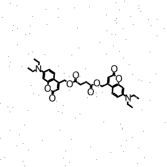 CCN(CC)c1ccc2c(COC(=O)CCC(=O)OCc3cc(=O)oc4cc(N(CC)CC)ccc34)cc(=O)oc2c1